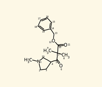 CN1CCC(C(=O)C(C)(C)C(=O)OCc2ccccc2)C1